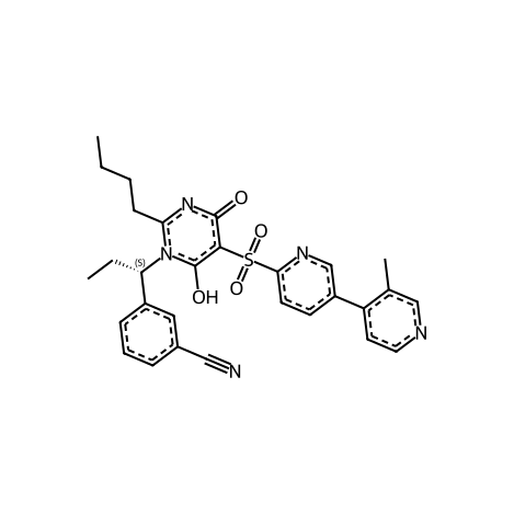 CCCCc1nc(=O)c(S(=O)(=O)c2ccc(-c3ccncc3C)cn2)c(O)n1[C@@H](CC)c1cccc(C#N)c1